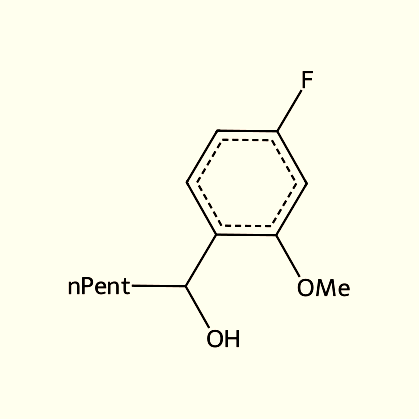 CCCCCC(O)c1ccc(F)cc1OC